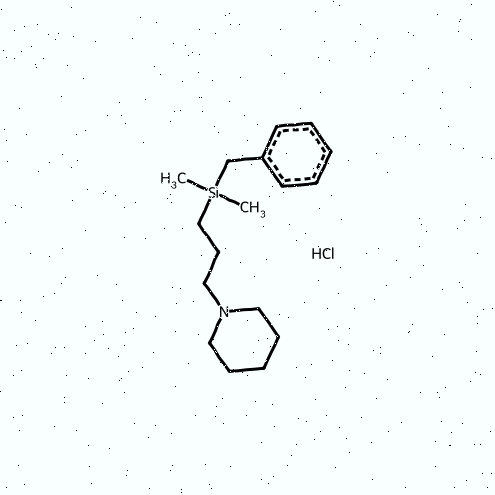 C[Si](C)(CCCN1CCCCC1)Cc1ccccc1.Cl